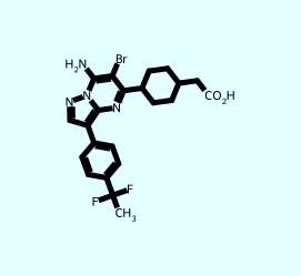 CC(F)(F)c1ccc(-c2cnn3c(N)c(Br)c(C4CCC(CC(=O)O)CC4)nc23)cc1